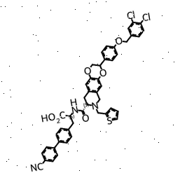 N#Cc1ccc(-c2ccc(C[C@H](NC(=O)[C@@H]3Cc4cc5c(cc4CN3Cc3cccs3)OC(c3ccc(OCc4ccc(Cl)c(Cl)c4)cc3)CO5)C(=O)O)cc2)cc1